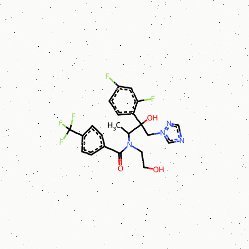 CC(N(CCO)C(=O)c1ccc(C(F)(F)F)cc1)C(O)(Cn1cncn1)c1ccc(F)cc1F